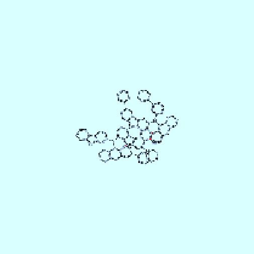 CC(C)c1cc2c(N(c3cccc(-c4ccccc4)n3)c3c4ccccc4cc4ccccc34)cc3c4cc(-c5ccccc5)ccc4oc3c2c2c1c(N1C=CC=CC1)cc1oc3c(N(c4ccc5c(c4)oc4ccccc45)c4c5ccccc5cc5cc(-c6ccccc6)ccc45)cccc3c12